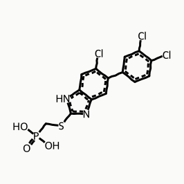 O=P(O)(O)CSc1nc2cc(-c3ccc(Cl)c(Cl)c3)c(Cl)cc2[nH]1